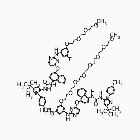 COCCOCCOCCOCCOCCOCCOCCOc1cc(Nc2nccc(Oc3ccc(NC(=O)Nc4cc(C(C)(C)C)nn4-c4ccc(C)cc4)c4ccccc34)n2)cc(OC)c1.COCCOCCOCCOc1cc(F)cc(Nc2nccc(Oc3ccc(NC(=O)Nc4cc(C(C)(C)C)nn4-c4ccc(C)cc4)c4ccccc34)n2)c1